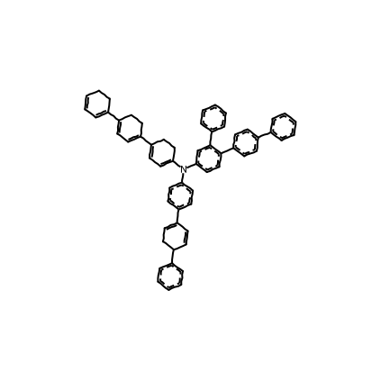 C1=CCCC(C2=CC=C(C3=CC=C(N(c4ccc(C5=CCC(c6ccccc6)C=C5)cc4)c4ccc(-c5ccc(-c6ccccc6)cc5)c(-c5ccccc5)c4)CC3)CC2)=C1